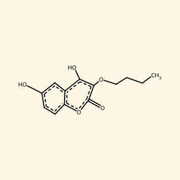 CCCCOc1c(O)c2cc(O)ccc2oc1=O